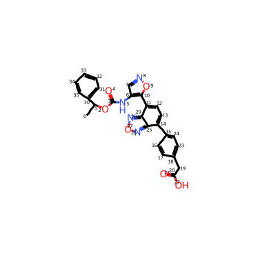 CC(OC(=O)Nc1cnoc1-c1ccc(-c2ccc(CC(=O)O)cc2)c2nonc12)c1ccccc1